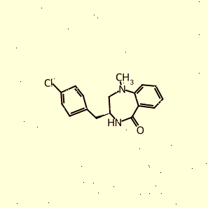 CN1C[C@H](Cc2ccc(Cl)cc2)NC(=O)c2ccccc21